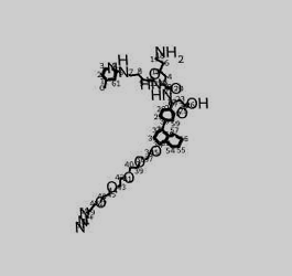 Cc1ccnc(NCCCC(=O)N[C@@H](CCCCN)C(=O)N[C@@H](CC(=O)O)c2ccc(-c3ccc(OCCOCCOCCOCCOCCN=[N+]=[N-])c4ccccc34)cc2)c1